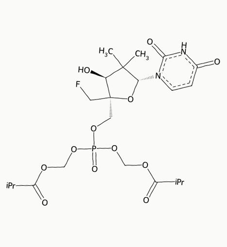 CC(C)C(=O)OCOP(=O)(OCOC(=O)C(C)C)OC[C@@]1(CF)O[C@@H](n2ccc(=O)[nH]c2=O)C(C)(C)[C@@H]1O